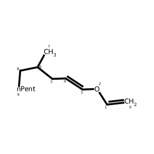 C=COC=CCC(C)CCCCCC